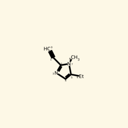 C#Cc1ncc(CC)n1C